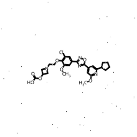 COc1cc(-c2nc(-c3cc(Cl)c(OCCN4CC(OC(=O)O)C4)c(OC)c3)no2)cc(C2CCCC2)n1